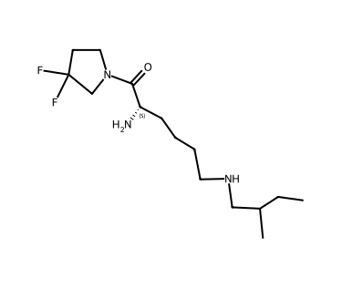 CCC(C)CNCCCC[C@H](N)C(=O)N1CCC(F)(F)C1